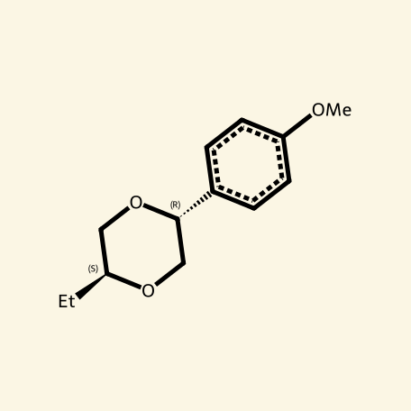 CC[C@H]1CO[C@H](c2ccc(OC)cc2)CO1